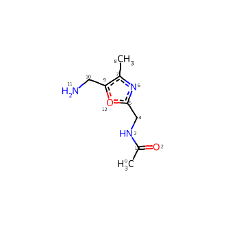 CC(=O)NCc1nc(C)c(CN)o1